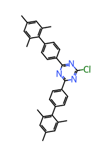 Cc1cc(C)c(-c2ccc(-c3nc(Cl)nc(-c4ccc(-c5c(C)cc(C)cc5C)cc4)n3)cc2)c(C)c1